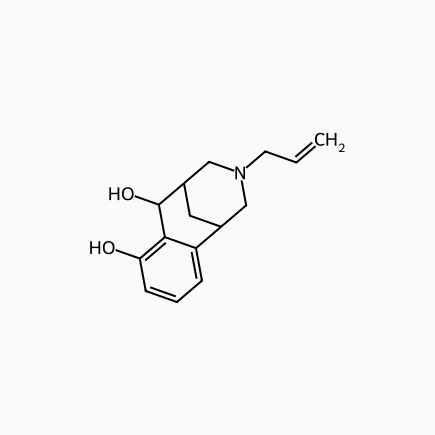 C=CCN1CC2CC(C1)C(O)c1c(O)cccc12